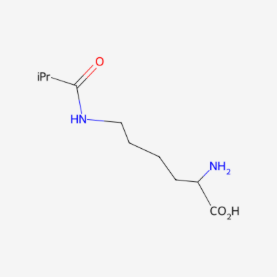 CC(C)C(=O)NCCCCC(N)C(=O)O